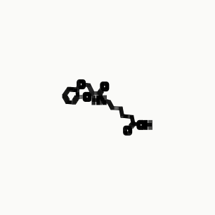 O=C(O)CCCCCNC(=O)C1COc2ccccc2O1